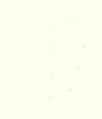 CCc1noc(C)c1C(=O)N(CCN(CC)CC)c1ccccc1F